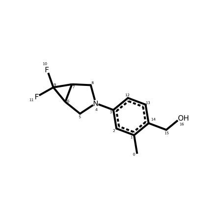 Cc1cc(N2CC3C(C2)C3(F)F)ccc1CO